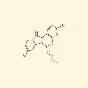 COCC1Oc2cc(Br)ccc2-c2[nH]c3ccc(Br)cc3c21